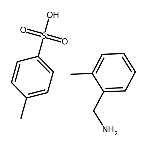 Cc1ccc(S(=O)(=O)O)cc1.Cc1ccccc1CN